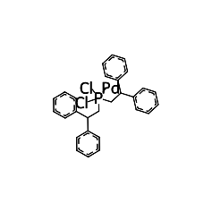 Cl[P](Cl)([Pd])(CC(c1ccccc1)c1ccccc1)CC(c1ccccc1)c1ccccc1